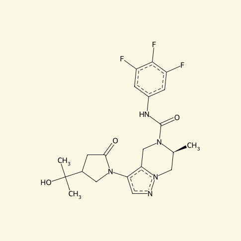 C[C@H]1Cn2ncc(N3CC(C(C)(C)O)CC3=O)c2CN1C(=O)Nc1cc(F)c(F)c(F)c1